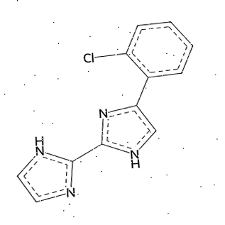 Clc1ccccc1-c1c[nH]c(-c2ncc[nH]2)n1